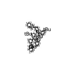 CC(C)(C)c1cc2c3c(c1)N(c1cccc(-c4cc5ccccc5s4)c1)c1c(oc4ccc(C(C)(C)C)cc14)B3c1oc3ccc(C(C)(C)C)cc3c1N2c1cccc(-c2cc3ccccc3s2)c1